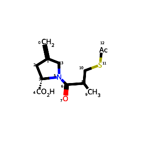 C=C1C[C@@H](C(=O)O)N(C(=O)C(C)CSC(C)=O)C1